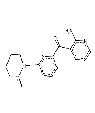 C[C@H]1CCCCN1c1cccc(C(=O)c2cccnc2N)n1